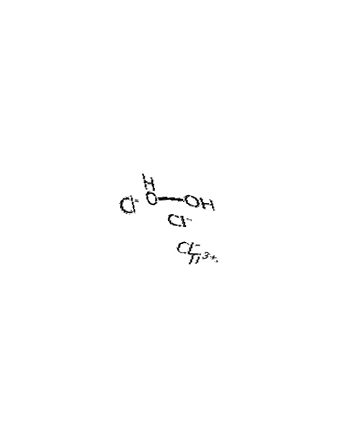 OO.[Cl-].[Cl-].[Cl-].[Ti+3]